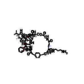 CC[C@H](C)[C@H]1NC(=O)[C@@H](NC(=O)[C@H](C)[C@H](O)C(C)C)[C@@H](C)OC(=O)[C@@H]2COC(=O)CNC(=O)/C=C/[C@](O)(CSCCCN)[C@@H](C)Oc3ccc(cc3)C(NC1=O)C(=O)N(C)[C@@H](Cc1ccccc1)C(=O)N[C@H]([C@@H](C)O)C(=O)N2